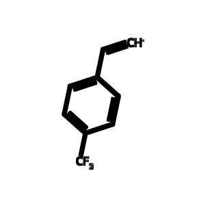 [CH]=Cc1ccc(C(F)(F)F)cc1